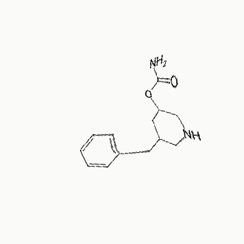 NC(=O)OC1CNCC(Cc2ccccc2)C1